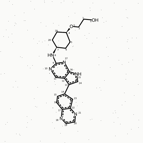 OCCO[C@H]1CC[C@@H](Nc2ncc3c(-c4ccc5nccnc5c4)c[nH]c3n2)CC1